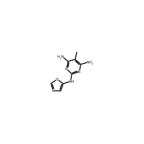 Cc1c(N)nc(Nc2cnco2)nc1N